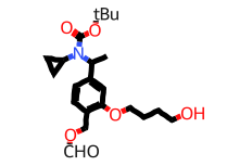 CC(c1ccc(COC=O)c(OCCCCO)c1)N(C(=O)OC(C)(C)C)C1CC1